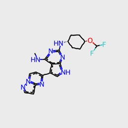 CNc1nc(N[C@H]2CC[C@@H](OC(F)F)CC2)nc2[nH]cc(-c3ccn4nccc4n3)c12